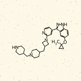 CC1(Oc2ccc3[nH]nc(-c4ccnc(N5CC(CC6CCN(CC7CCNCC7)CC6)C5)c4)c3c2)CC1